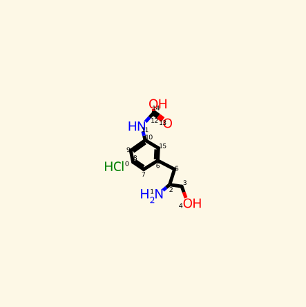 Cl.NC(CO)Cc1cccc(NC(=O)O)c1